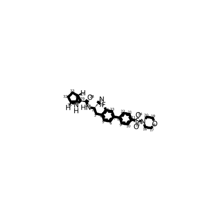 N#C[C@H](Cc1ccc(-c2ccc(S(=O)(=O)N3CCOCC3)cc2)cc1F)NC(=O)[C@H]1N[C@@H]2CC[C@H]1C2